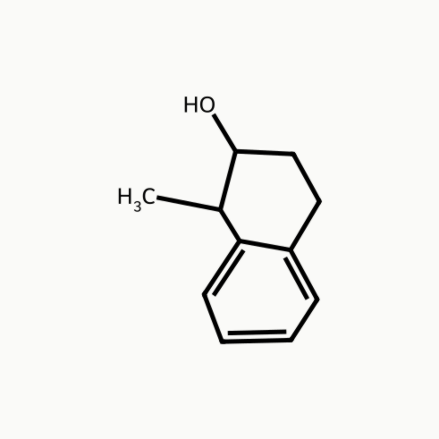 CC1c2ccccc2CCC1O